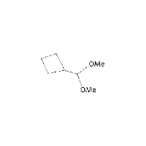 COC(OC)C1CCC1